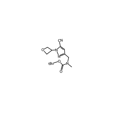 CN(Cc1cc(C#N)n(C2COC2)n1)C(=O)OC(C)(C)C